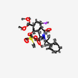 COC(OC)c1cc(I)c2c(c1OS(C)(=O)=O)C(OC)N(C(C)(C)c1ccccc1)C2=O